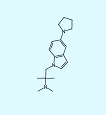 CN(C)C(C)(C)Cn1ccc2cc(N3CCCC3)ccc21